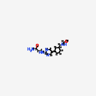 NC(=O)CCNc1ncc(-c2cccc(CNC=O)c2)cn1